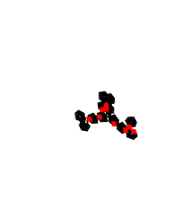 C1=Cc2c(c3ccccc3n2-c2ccc(-c3ccc(N(c4ccc(-c5ccc6c7ccccc7n(-c7ccccc7)c6c5)cc4)c4ccc(-c5cccc6cccc(-c7ccccc7)c56)cc4)cc3)cc2)CC1